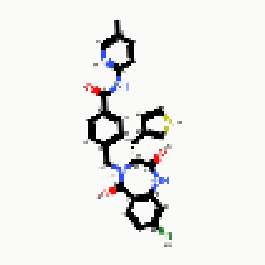 Cc1ccc(NC(=O)c2ccc(CN3C(=O)c4ccc(Cl)cc4NC(=O)[C@H]3Cc3ccsc3)cc2)nc1